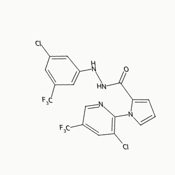 O=C(NNc1cc(Cl)cc(C(F)(F)F)c1)c1cccn1-c1ncc(C(F)(F)F)cc1Cl